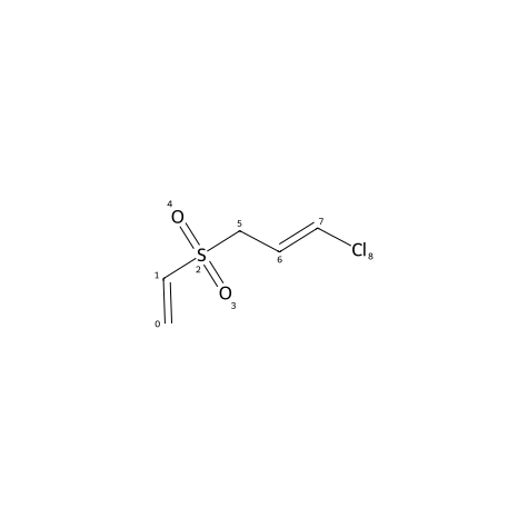 C=CS(=O)(=O)CC=CCl